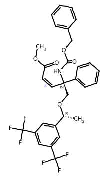 COC(=O)/C=C\[C@](CO[C@H](C)c1cc(C(F)(F)F)cc(C(F)(F)F)c1)(NC(=O)OCc1ccccc1)c1ccccc1